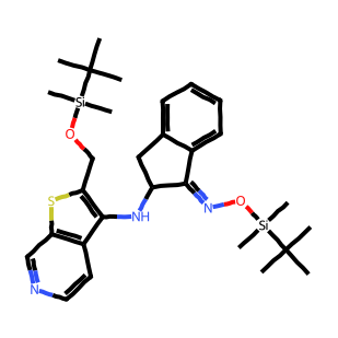 CC(C)(C)[Si](C)(C)OCc1sc2cnccc2c1NC1Cc2ccccc2C1=NO[Si](C)(C)C(C)(C)C